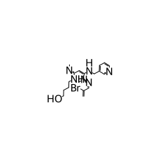 C=C(Br)/C=N\N(C)/C(=C\C(=N/C)NCCCCO)NCc1cccnc1